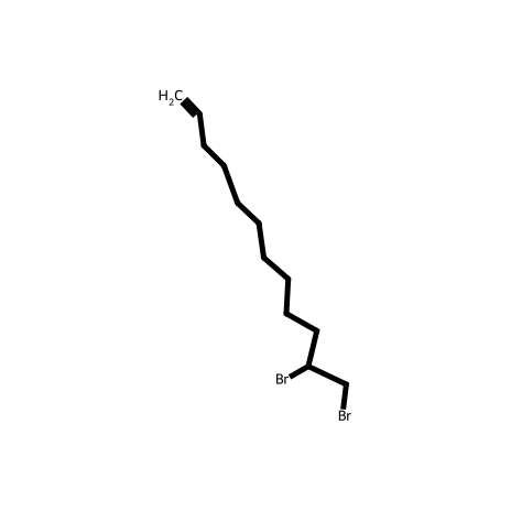 C=CCCCCCCCCC(Br)CBr